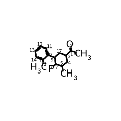 CC(=O)C1CC(C)C(F)C(c2ccccc2C)C1